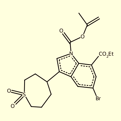 C=C(C)OC(=O)n1cc(C2CCCS(=O)(=O)CC2)c2cc(Br)cc(C(=O)OCC)c21